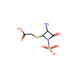 NC1C(=O)N(S(=O)(=O)O)C1SCC(=O)O